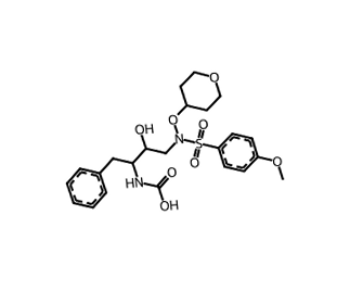 COc1ccc(S(=O)(=O)N(CC(O)C(Cc2ccccc2)NC(=O)O)OC2CCOCC2)cc1